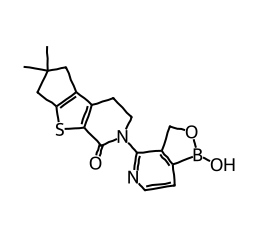 CC1(C)Cc2sc3c(c2C1)CCN(c1nccc2c1COB2O)C3=O